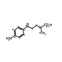 CN(CCNc1ccc(N)cc1)C(=O)O